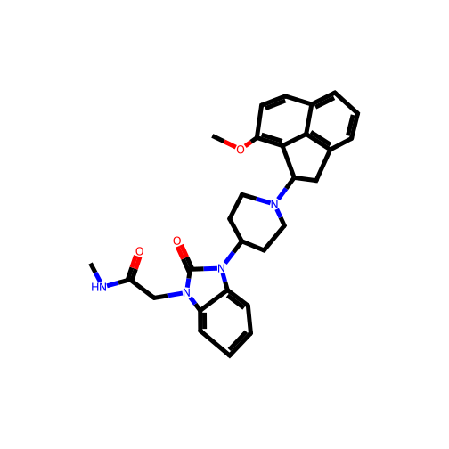 CNC(=O)Cn1c(=O)n(C2CCN(C3Cc4cccc5ccc(OC)c3c45)CC2)c2ccccc21